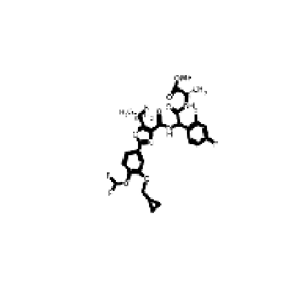 COC(=O)[C@H](C)NC(=O)C(NC(=O)c1nc(-c2ccc(OC(F)F)c(OCC3CC3)c2)oc1[C@H](C)N)c1ccc(F)cc1F